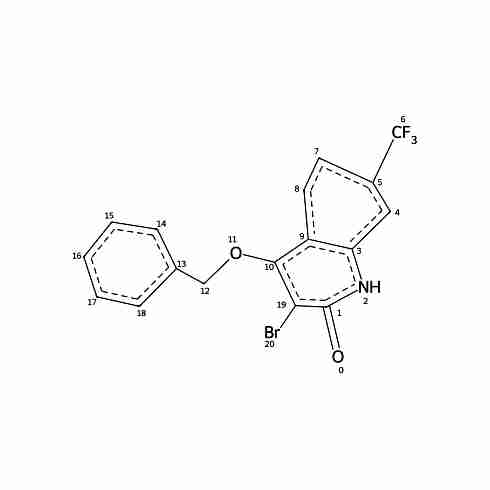 O=c1[nH]c2cc(C(F)(F)F)ccc2c(OCc2ccccc2)c1Br